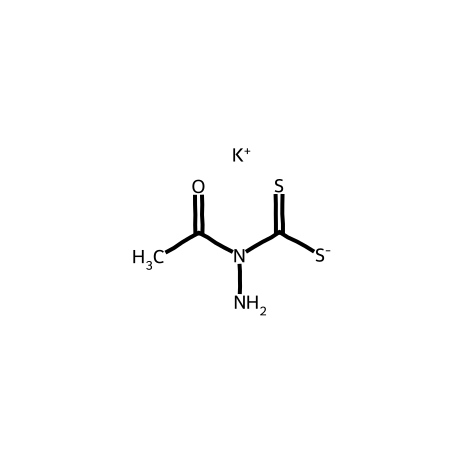 CC(=O)N(N)C(=S)[S-].[K+]